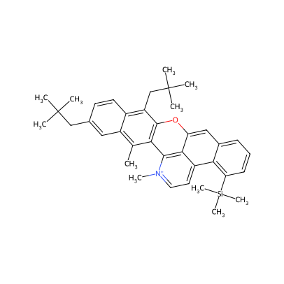 Cc1c2c(c(CC(C)(C)C)c3ccc(CC(C)(C)C)cc13)Oc1cc3cccc([Si](C)(C)C)c3c3cc[n+](C)c-2c13